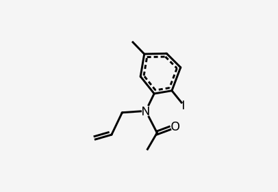 C=CCN(C(C)=O)c1cc(C)ccc1I